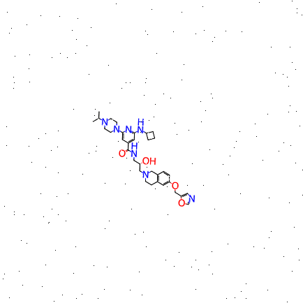 CC(C)N1CCN(c2cc(C(=O)NC[C@H](O)CN3CCc4cc(OCc5cnco5)ccc4C3)cc(NC3CCC3)n2)CC1